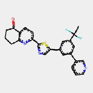 CC(F)(F)c1cc(-c2cccnc2)cc(-c2cnc(-c3ccc4c(n3)CCCC4=O)s2)c1